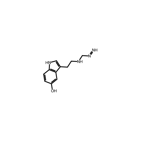 N=NCNCCc1c[nH]c2ccc(O)cc12